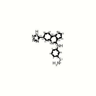 NSc1cccc(Nc2nc3cc(-c4nnn[nH]4)ccc3c3sccc23)c1